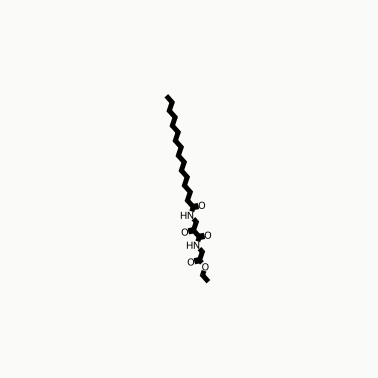 CCCCCCCCCCCCCCCC(=O)NCC(=O)C(=O)NCC(=O)OCC